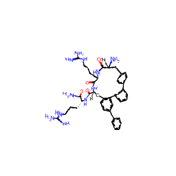 N=C(N)NCCCC1NC(=O)[C@H](N)Cc2ccc(cc2)-c2cccc(c2)-c2cc(-c3ccccc3)ccc2C[C@H](C(=O)N[C@H](CCCNC(=N)N)C(N)=O)NC1=O